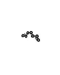 c1cc(-c2cccc(-c3cccc4c3sc3ccccc34)c2)cc(-c2cccc(-c3cccc4c3sc3ccccc34)c2)c1